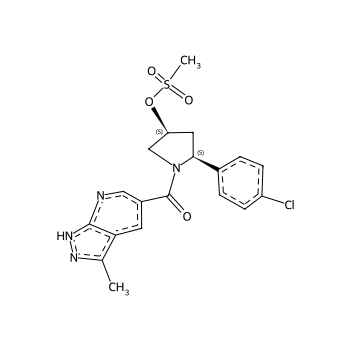 Cc1n[nH]c2ncc(C(=O)N3C[C@@H](OS(C)(=O)=O)C[C@H]3c3ccc(Cl)cc3)cc12